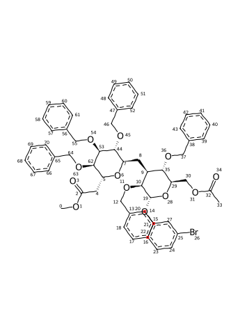 COC(=O)C[C@H]1O[C@H](C[C@@H]2[C@H](OCc3ccccc3)[C@@H](Oc3cccc(Br)c3)O[C@H](COC(C)=O)[C@H]2OCc2ccccc2)[C@@H](OCc2ccccc2)[C@H](OCc2ccccc2)[C@@H]1OCc1ccccc1